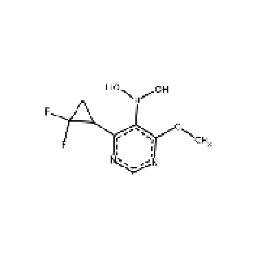 COc1ncnc(C2CC2(F)F)c1B(O)O